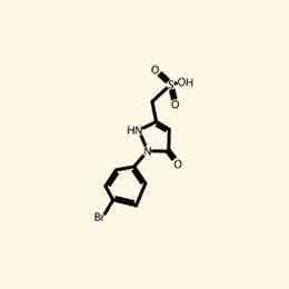 O=c1cc(CS(=O)(=O)O)[nH]n1-c1ccc(Br)cc1